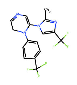 Cc1nc(C(F)(F)F)cn1C1=CN=CCN1c1ccc(C(F)(F)F)cc1